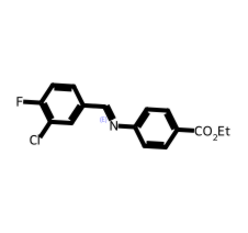 CCOC(=O)c1ccc(/N=C/c2ccc(F)c(Cl)c2)cc1